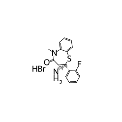 Br.CN1C(=O)[C@@H](N)[C@@H](c2ccccc2F)Sc2ccccc21